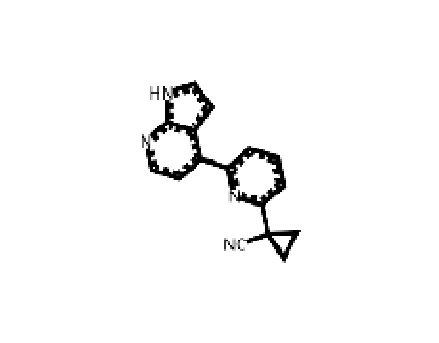 N#CC1(c2cccc(-c3ccnc4[nH]ccc34)n2)CC1